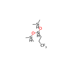 C[SiH](C)O[SiH](CCC(F)(F)F)O[SiH](C)C